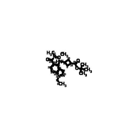 CCn1ncc2c(NC3CC(C(=O)OC(C)(C)C)C3)c(C(=O)N(C)OC)cnc21